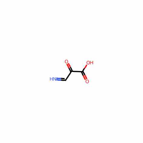 N=CC(=O)C(=O)O